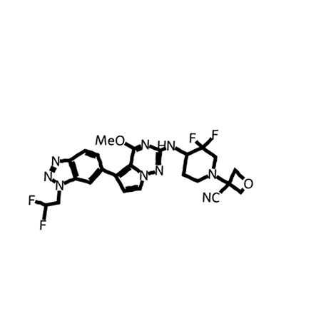 COc1nc(NC2CCN(C3(C#N)COC3)CC2(F)F)nn2ccc(-c3ccc4nnn(CC(F)F)c4c3)c12